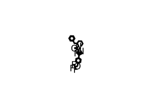 O=C(N1CCCCC1Cc1ccccc1)n1ncc(-c2ccc(OC(F)(F)F)cc2)n1